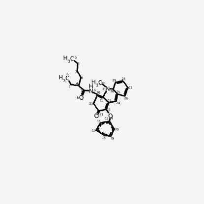 CCCCC(CC)C(=O)NC1=C2C(=C(Oc3ccccc3)C(=O)C1)C=C1C=CC=CC1N2C